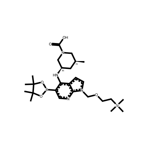 C[C@H]1C[C@@H](Nc2c(B3OC(C)(C)C(C)(C)O3)cnc3c2ccn3COCC[Si](C)(C)C)CN(C(=O)O)C1